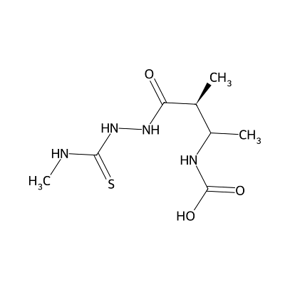 CNC(=S)NNC(=O)[C@@H](C)C(C)NC(=O)O